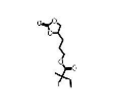 CCC(C)(I)C(=O)OCCCC1COC(=O)O1